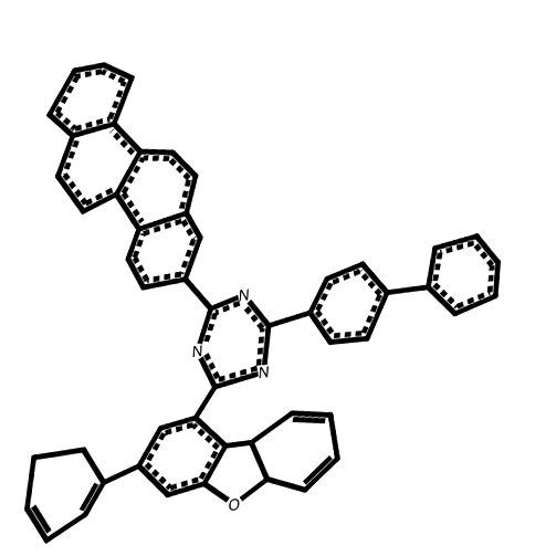 C1=CCCC(c2cc3c(c(-c4nc(-c5ccc(-c6ccccc6)cc5)nc(-c5ccc6c(ccc7c8ccccc8ccc67)c5)n4)c2)C2C=CC=CC2O3)=C1